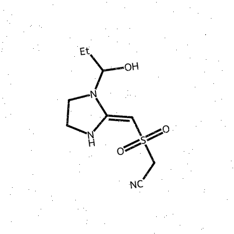 CCC(O)N1CCNC1=CS(=O)(=O)CC#N